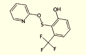 Oc1cccc(C(F)(F)F)c1SOc1ccccn1